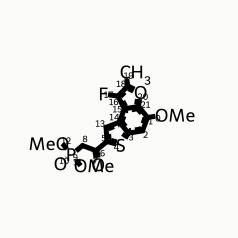 COc1cc2sc(C(=O)CP(=O)(OC)OC)cc2c2c(F)c(C)oc12